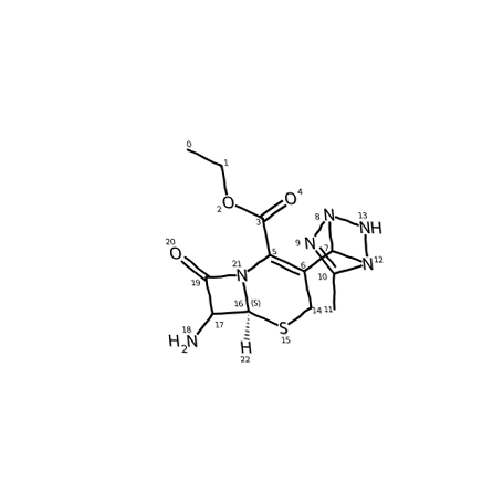 CCOC(=O)C1=C(C2N3N=C(C)N2N3)CS[C@H]2C(N)C(=O)N12